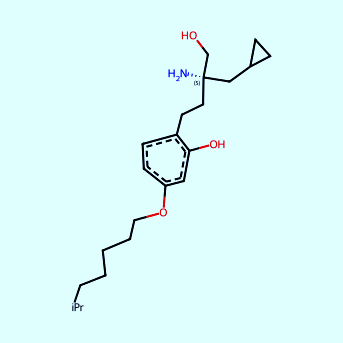 CC(C)CCCCCOc1ccc(CC[C@@](N)(CO)CC2CC2)c(O)c1